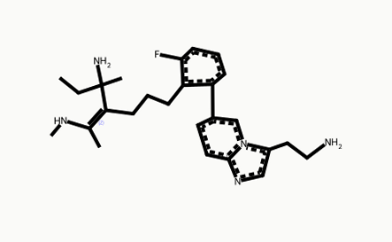 CCC(C)(N)/C(CCCc1c(F)cccc1-c1ccc2ncc(CCN)n2c1)=C(/C)NC